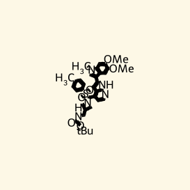 COc1cc2c(-c3cc4c(C(N5CC(CNC(=O)OC(C)(C)C)C5)S(=O)(=O)c5ccc(C)cc5)ccnc4[nH]3)cn(C)c2cc1OC